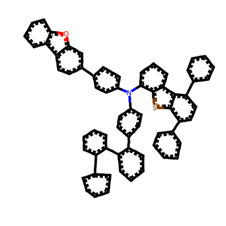 c1ccc(-c2ccccc2-c2ccccc2-c2ccc(N(c3ccc(-c4ccc5c(c4)oc4ccccc45)cc3)c3cccc4c3sc3c(-c5ccccc5)ccc(-c5ccccc5)c34)cc2)cc1